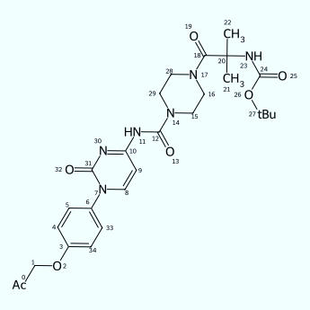 CC(=O)COc1ccc(-n2ccc(NC(=O)N3CCN(C(=O)C(C)(C)NC(=O)OC(C)(C)C)CC3)nc2=O)cc1